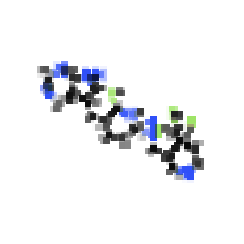 Fc1nc(NCc2cnccc2C(F)(F)F)ccc1Cc1c[nH]c2ncncc12